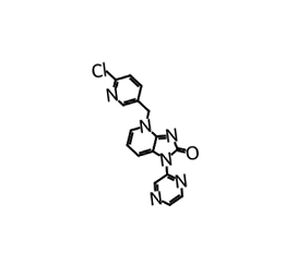 O=c1nc2n(Cc3ccc(Cl)nc3)cccc-2n1-c1cnccn1